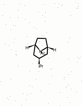 CC(=O)N1[C@@H]2CC[C@H]1C[C@H](C(C)C)C2